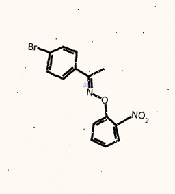 C/C(=N\Oc1ccccc1[N+](=O)[O-])c1ccc(Br)cc1